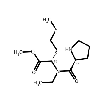 CCN(C(=O)[C@@H]1CCCN1)[C@@H](CCSC)C(=O)OC